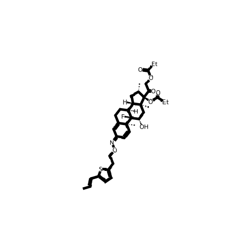 C/C=C/c1ccc(CCO/N=C2\C=C[C@@]3(C)C(=C2)CC[C@H]2[C@@H]4C[C@H](C)[C@](OC(=O)CC)(C(=O)COC(=O)CC)[C@@]4(C)C[C@H](O)[C@@]23F)s1